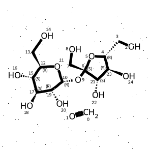 C=O.OC[C@H]1O[C@@](CO)(O[C@H]2O[C@H](CO)[C@@H](O)[C@H](O)[C@H]2O)[C@@H](O)[C@@H]1O